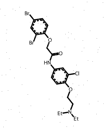 CCN(CC)CCOc1ccc(NC(=O)COc2ccc(Br)cc2Br)cc1Cl